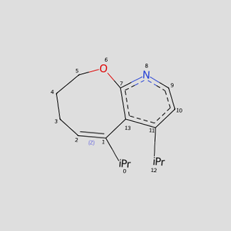 CC(C)/C1=C/CCCOc2nccc(C(C)C)c21